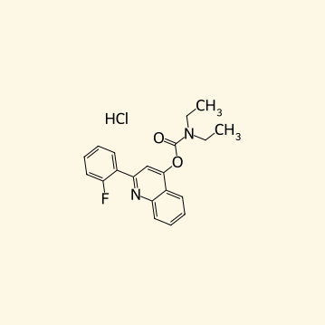 CCN(CC)C(=O)Oc1cc(-c2ccccc2F)nc2ccccc12.Cl